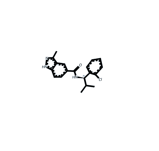 Cc1n[nH]c2ccc(C(=O)N[C@@H](c3ccccc3Cl)C(C)C)cc12